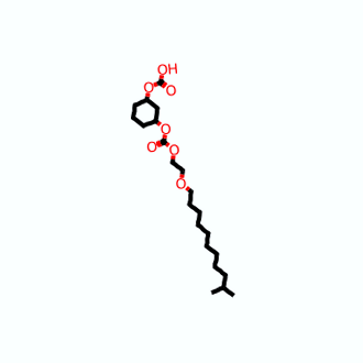 CC(C)CCCCCCCCCOCCOC(=O)OC1CCCC(OC(=O)O)C1